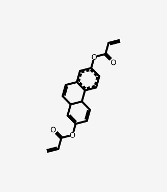 C=CC(=O)OC1=CC2C=Cc3cc(OC(=O)C=C)ccc3C2C=C1